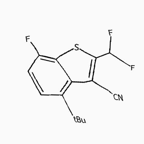 CC(C)(C)c1ccc(F)c2sc(C(F)F)c(C#N)c12